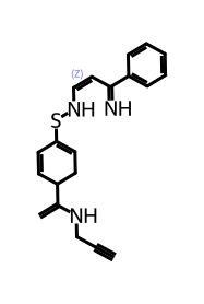 C#CCNC(=C)C1C=CC(SN/C=C\C(=N)c2ccccc2)=CC1